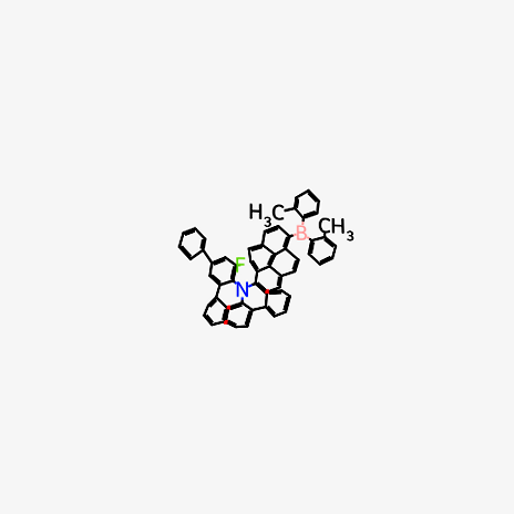 Cc1ccccc1B(c1ccccc1C)c1ccc2ccc3c(N(c4ccccc4-c4ccccc4)c4c(F)cc(-c5ccccc5)cc4-c4ccccc4)ccc4ccc1c2c43